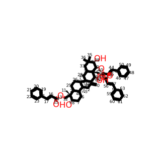 C=CCC1[C@@]2(C)CC[C@H](O)[C@](C)(COC(=O)/C=C/c3ccccc3)C2CC[C@@]1(C)[C@@]1(C)CC2CC(C)(C)[C@@H](O)[C@H](OC(=O)/C=C/c3ccccc3)[C@]2(COC(=O)/C=C/c2ccccc2)[C@H](O)C1